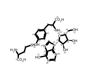 NC(CCS)C(=O)O.NC(Cc1ccc(O)cc1)C(=O)O.OC[C@H]1O[C@@H](n2cnc3c(O)ncnc32)[C@H](O)[C@@H]1O